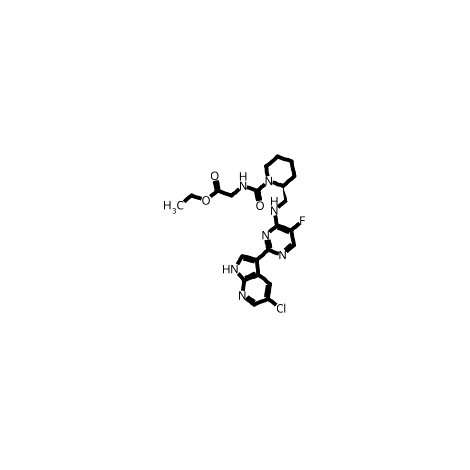 CCOC(=O)CNC(=O)N1CCCC[C@H]1CNc1nc(-c2c[nH]c3ncc(Cl)cc23)ncc1F